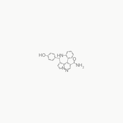 NC(=O)c1cnn2ccc3c2c1-c1ccccc1NC3c1ccc(O)cc1